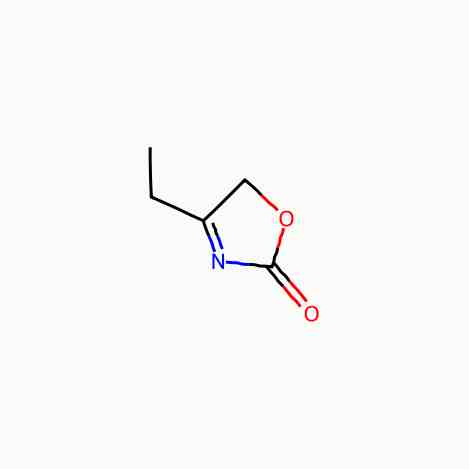 CCC1=NC(=O)OC1